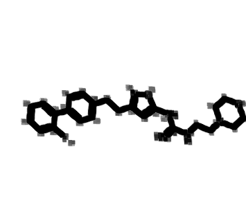 N=C(NCCN1CCOCC1)Nc1cc(CCc2ccc(-c3ccccc3F)cc2)no1